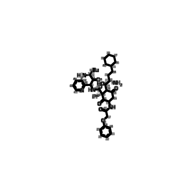 CC[C@H](C)[C@H](N)C(=O)C(NC(=O)[C@]1(C(C)C)C(=O)C(NC(=O)COc2ccccc2)CC(=O)C1[C@H](O)[C@@H](N)CCC1CCCCC1)c1ccccn1